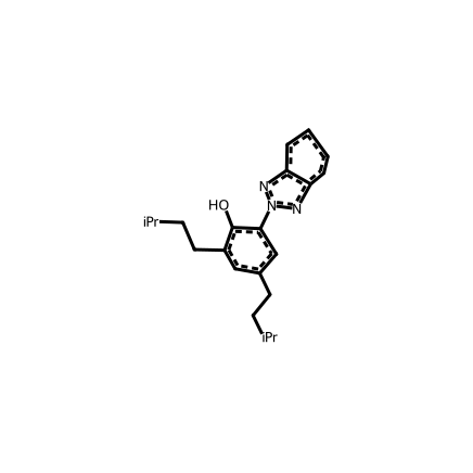 CC(C)CCc1cc(CCC(C)C)c(O)c(-n2nc3ccccc3n2)c1